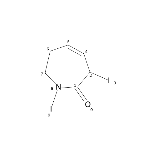 O=C1C(I)C=CCCN1I